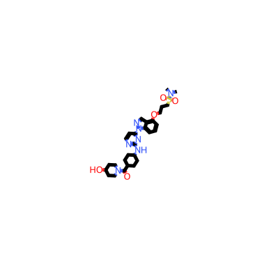 CN(C)S(=O)(=O)CCCOc1cccc2c1cnn2-c1ccnc(NC2CCC(C(=O)N3CCC(O)CC3)CC2)n1